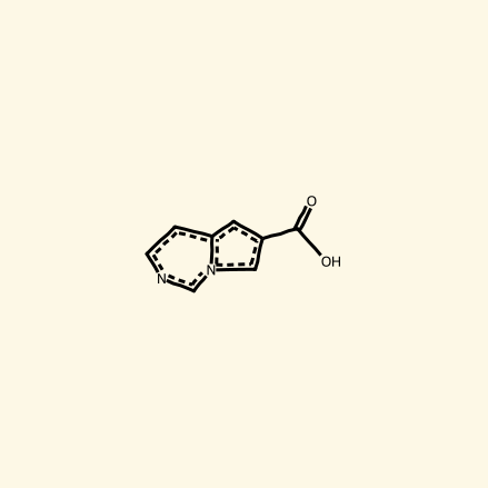 O=C(O)c1cc2ccncn2c1